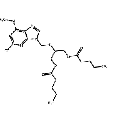 CCCCC(=O)OCC(COC(=O)CCCC)OCn1cnc2c(NC)nc(Cl)nc21